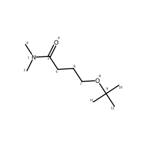 CN(C)C(=O)CCCOC(C)(C)C